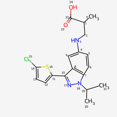 CC(CNc1ccc2c(c1)c(-c1ccc(Cl)s1)nn2C(C)C)C(=O)O